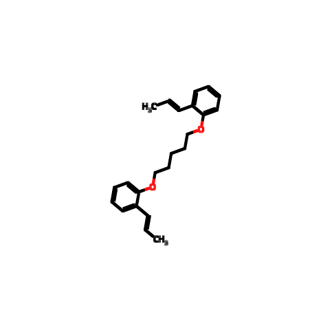 CC=Cc1ccccc1OCCCCCOc1ccccc1C=CC